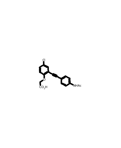 CC(=O)Nc1ccc(C#Cc2cc(Cl)ccc2OCC(=O)O)cc1